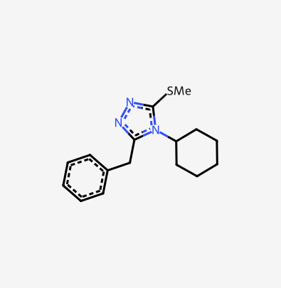 CSc1nnc(Cc2ccccc2)n1C1CCCCC1